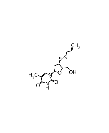 C=CCSS[C@@H]1C[C@H](n2cc(C)c(=O)[nH]c2=O)O[C@@H]1CO